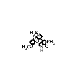 COc1cccc(Oc2c(-c3cn(C)c(=O)c4[nH]ccc34)ccn(C)c2=O)c1